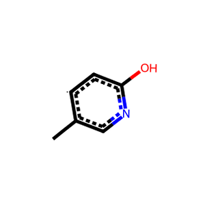 Cc1[c]cc(O)nc1